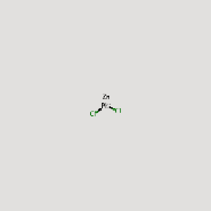 [Cl][Pb][Cl].[Zn]